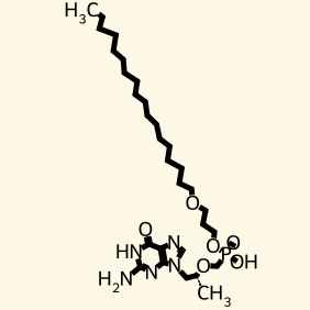 CCCCCCCCCCCCCCCCCCOCCCOP(=O)(O)CO[C@H](C)Cn1cnc2c(=O)[nH]c(N)nc21